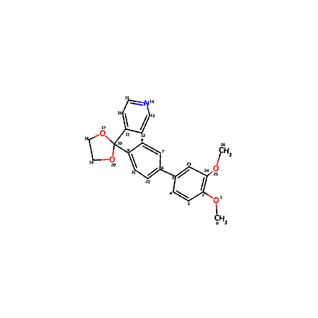 COc1ccc(-c2ccc(C3(c4ccncc4)OCCO3)cc2)cc1OC